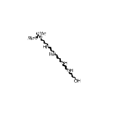 COP(OC)OCCCCNCCCNCCCCNCCCNCCCCO